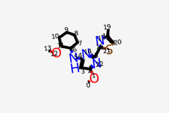 COc1cc(NC2CCCCC2OC)nc(-c2nc(C)cs2)n1